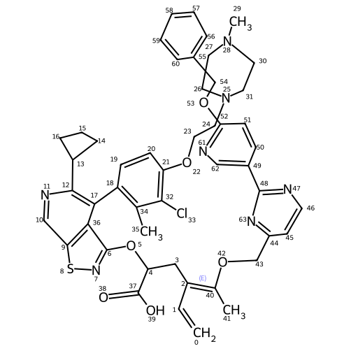 C=C/C(CC(Oc1nsc2cnc(C3CCC3)c(-c3ccc(OCCN4CCN(C)CC4)c(Cl)c3C)c12)C(=O)O)=C(\C)OCc1ccnc(-c2ccc(OCc3ccccc3)nc2)n1